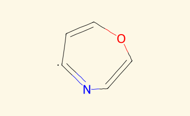 [C]1=NC=COC=C1